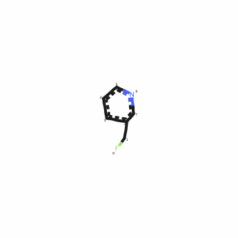 FCc1cc[c]nc1